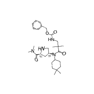 CN(C)C(=O)[C@@H]1C[C@H](N(C(=O)C(C)(C)CNC(=O)OCc2ccccc2)C2CCC(C)(C)CC2)CN1